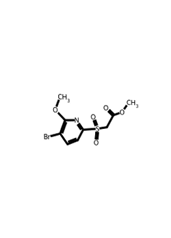 COC(=O)CS(=O)(=O)c1ccc(Br)c(OC)n1